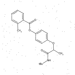 Cc1ccccc1C(=O)Oc1ccc(OC(C)C(=O)NC(C)(C)C)cc1